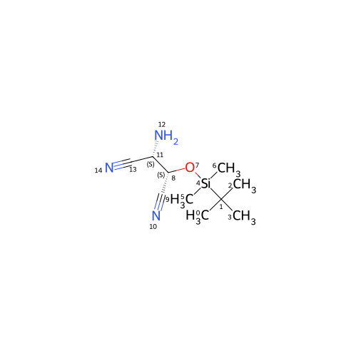 CC(C)(C)[Si](C)(C)O[C@H](C#N)[C@@H](N)C#N